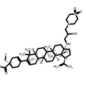 C=C(C)[C@@H]1CC[C@]2(NCC(O)CN3CCS(=O)(=O)CC3)CC[C@]3(C)[C@H](CC[C@@H]4[C@@]5(C)CC=C(C6=CC[C@](CF)(C(=O)O)CC6)C(C)(C)[C@@H]5CC[C@]43C)[C@@H]12